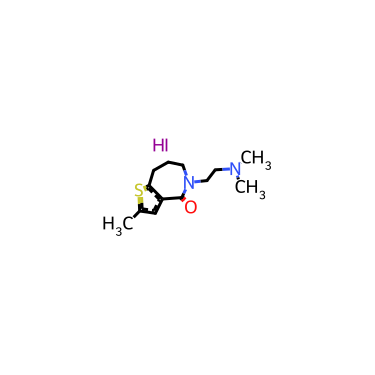 Cc1cc2c(s1)CCCN(CCN(C)C)C2=O.I